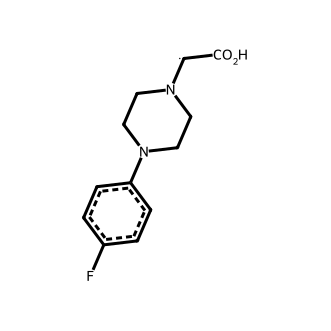 O=C(O)[CH]N1CCN(c2ccc(F)cc2)CC1